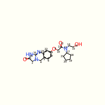 O=C1CN2Cc3ccc(OCC(=O)N(CCO)C4CCCC4)cc3N=C2N1